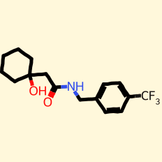 O=C(CC1(O)CCCCC1)NCc1ccc(C(F)(F)F)cc1